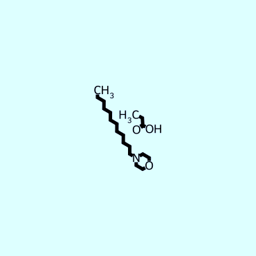 CCC(=O)O.CCCCCCCCCCCCN1CCOCC1